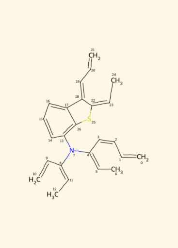 C=C/C=C\C(=C/C)N(/C(C=C)=C/C)c1cccc2c(=C/C=C)/c(=C\C)sc12